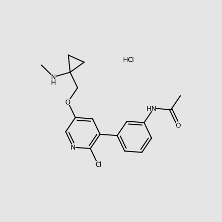 CNC1(COc2cnc(Cl)c(-c3cccc(NC(C)=O)c3)c2)CC1.Cl